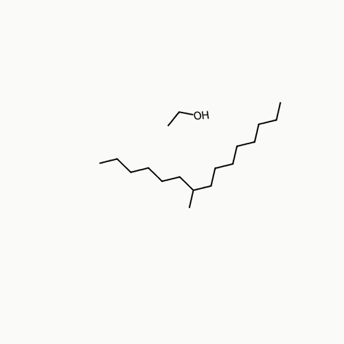 CCCCCCCCC(C)CCCCCC.CCO